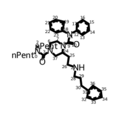 CCCCCN(CCCCC)C(=O)N1CCN(C(=O)N(c2ccccc2)c2ccccc2)C(CCNCCCc2ccccc2)C1